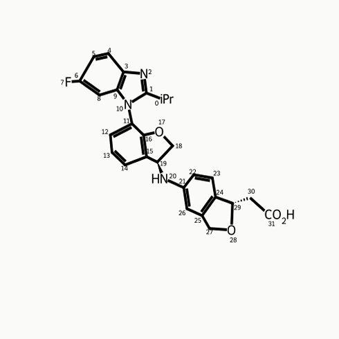 CC(C)c1nc2ccc(F)cc2n1-c1cccc2c1OC[C@H]2Nc1ccc2c(c1)CO[C@H]2CC(=O)O